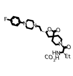 CC[C@H](NC(=O)O)C(=O)N1CCC2(CC1)C[C@H](CCN1CCN(c3ccc(F)cc3)CC1)OC2=O